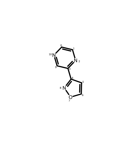 c1cnc(-c2ccon2)cn1